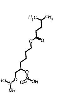 CC(C)CCC(=O)OCCCC[C@H](CON(O)O)ON(O)O